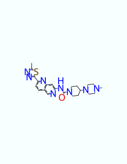 Cc1nnc(-c2ccc3cnc(NC(=O)N4CCC(N5CCN(C)CC5)CC4)cc3n2)s1